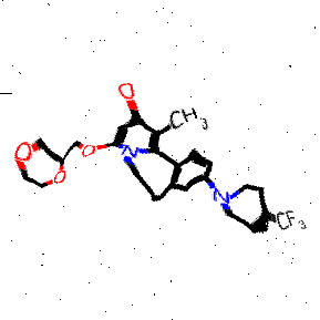 Cc1c2n(c(OC[C@@H]3COCCO3)cc1=O)CCc1cc(N3CCC(C(F)(F)F)CC3)ccc1-2